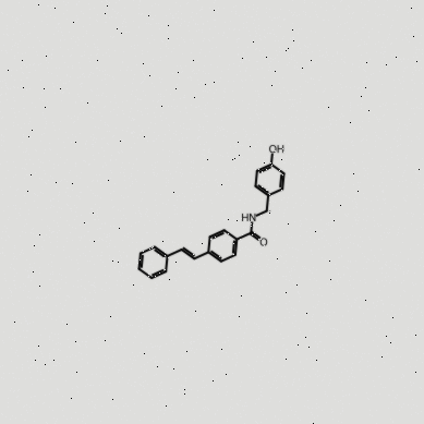 O=C(N[CH]c1ccc(O)cc1)c1ccc(C=Cc2ccccc2)cc1